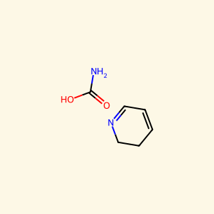 C1=CCCN=C1.NC(=O)O